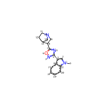 Cn1cc(-c2noc(C3CN4CCC3C4)n2)c2ccccc21